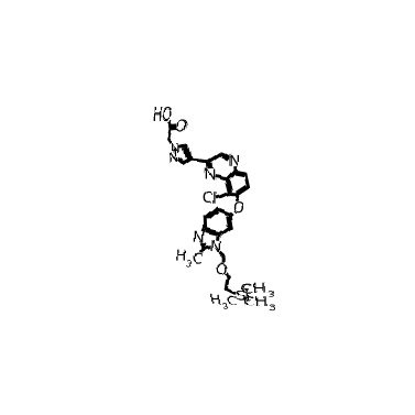 Cc1nc2ccc(Oc3ccc4ncc(-c5cnn(CC(=O)O)c5)nc4c3Cl)cc2n1COCC[Si](C)(C)C